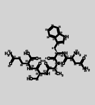 C[C@H](NC(=O)[C@H](Cc1c[nH]c2ccccc12)NC(=O)[C@@H](N)CC(N)=O)C(=O)N[C@@H](CO)C(=O)N[C@@H](CCC(N)=O)C(=O)O